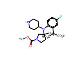 CC(C)(C)OC(=O)N1CCC(C)(N(c2ccc(F)cc2C(C(=O)O)C(=O)O)C2CCNCC2)C1